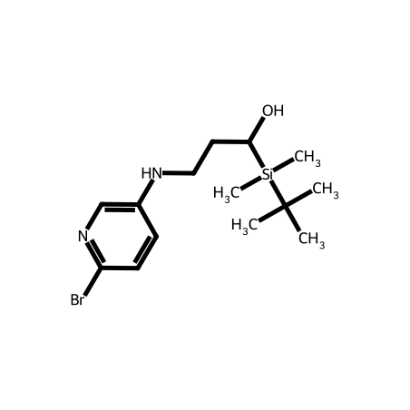 CC(C)(C)[Si](C)(C)C(O)CCNc1ccc(Br)nc1